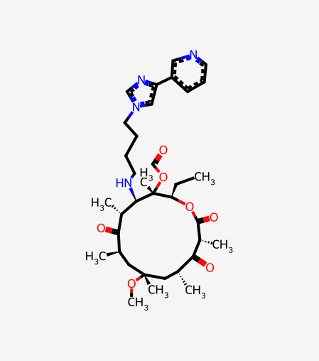 CC[C@H]1OC(=O)[C@H](C)C(=O)[C@H](C)C[C@](C)(OC)C[C@@H](C)C(=O)[C@H](C)[C@@H](NCCCCn2cnc(-c3cccnc3)c2)[C@]1(C)OC=O